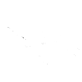 CCO[C@H]1C[C@@H](n2cc(NC(=O)c3ccc(-c4cn[nH]c4)o3)c(-c3cccc(F)n3)n2)C1